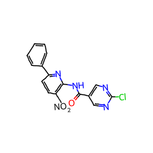 O=C(Nc1nc(-c2ccccc2)ccc1[N+](=O)[O-])c1cnc(Cl)nc1